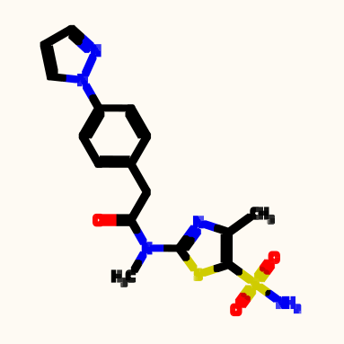 Cc1nc(N(C)C(=O)Cc2ccc(-n3cccn3)cc2)sc1S(N)(=O)=O